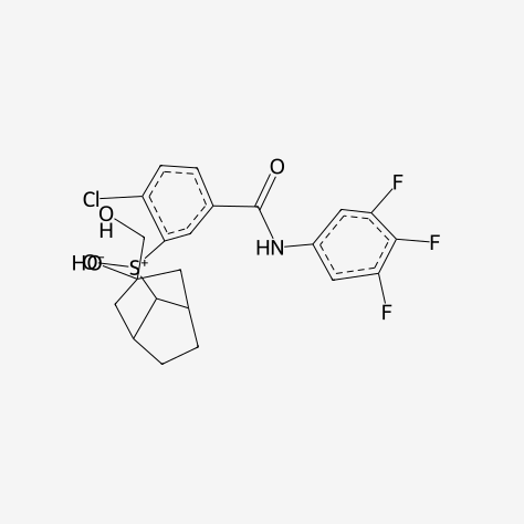 O=C(Nc1cc(F)c(F)c(F)c1)c1ccc(Cl)c([S+]([O-])C2C3CCC2CC(O)(CO)C3)c1